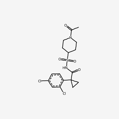 CC(=O)N1CCC(S(=O)(=O)NC(=O)C2(c3ccc(Cl)cc3Cl)CC2)CC1